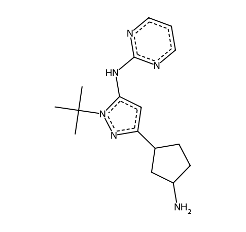 CC(C)(C)n1nc(C2CCC(N)C2)cc1Nc1ncccn1